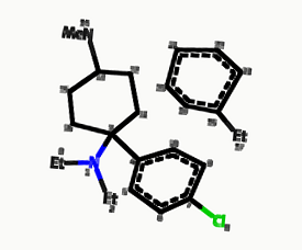 CCN(CC)C1(c2ccc(Cl)cc2)CCC(NC)CC1.CCc1ccccc1